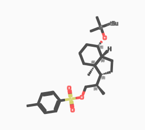 Cc1ccc(S(=O)(=O)OC[C@H](C)[C@H]2CC[C@H]3[C@@H](O[Si](C)(C)C(C)(C)C)CCC[C@]23C)cc1